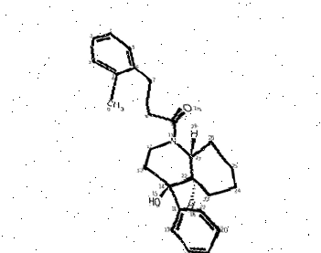 Cc1ccccc1CCC(=O)N1CC[C@@](O)(c2ccccc2)[C@@H]2CCCC[C@H]21